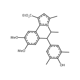 CCOC(=O)c1cc(C)n2c1-c1cc(OC)c(OC)cc1C(c1cc(C)c(O)c(C)c1)C2C